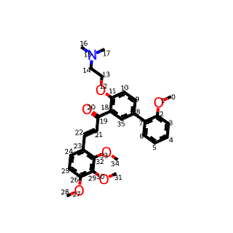 COc1ccccc1-c1ccc(OCCN(C)C)c(C(=O)C=Cc2ccc(OC)c(OC)c2OC)c1